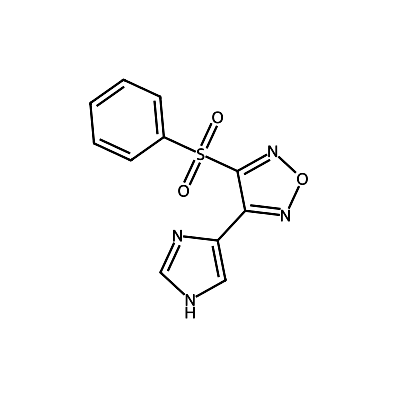 O=S(=O)(c1ccccc1)c1nonc1-c1c[nH]cn1